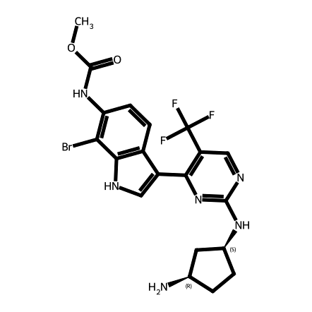 COC(=O)Nc1ccc2c(-c3nc(N[C@H]4CC[C@@H](N)C4)ncc3C(F)(F)F)c[nH]c2c1Br